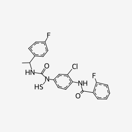 CC(NC(=O)N(S)c1ccc(NC(=O)c2ccccc2F)c(Cl)c1)c1ccc(F)cc1